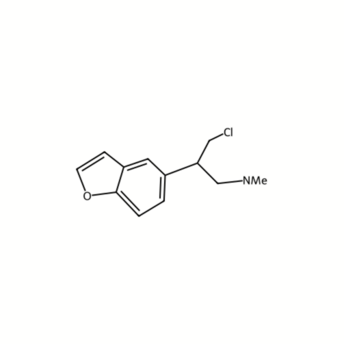 CNCC(CCl)c1ccc2occc2c1